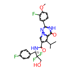 COc1ccc(-c2nn3cc(C(=O)N[C@@H](c4ccc(F)cc4)C(F)(F)CO)c(C(C)C)c3c(=O)[nH]2)cc1F